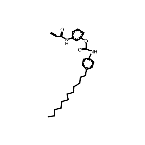 C=CC(=O)Nc1cccc(OC(=O)Nc2ccc(CCCCCCCCCCCC)cc2)c1